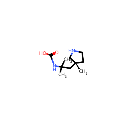 CC(C)(C[C@@]1(C)CCNC1)NC(=O)O